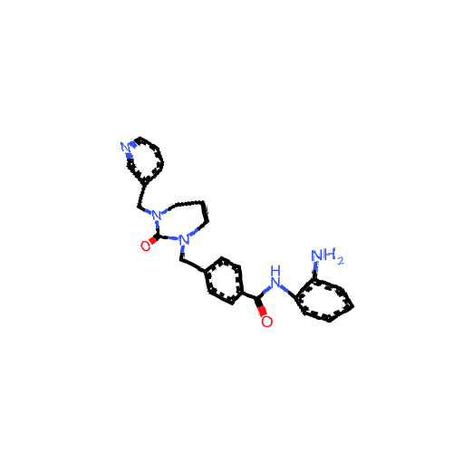 Nc1ccccc1NC(=O)c1ccc(CN2CCCN(Cc3cccnc3)C2=O)cc1